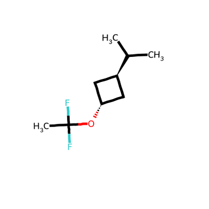 CC(C)[C@H]1C[C@H](OC(C)(F)F)C1